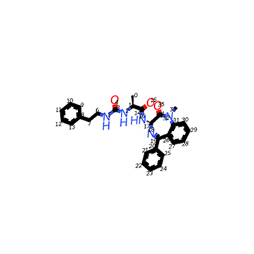 C[C@H](NC(=O)NCCc1ccccc1)C(=O)N[C@H]1N=C(c2ccccc2)c2ccccc2N(C)C1=O